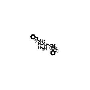 CC(C)C[C@H](NC(=O)c1cc2ccccc2s1)C(=O)NCCCN(C)S(=O)(=O)c1ccccc1Cl